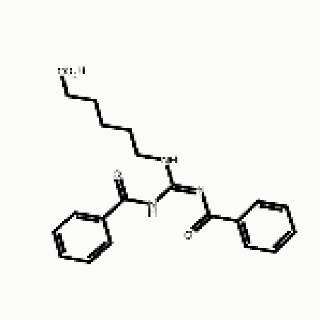 O=C(O)CCCCCN/C(=N/C(=O)c1ccccc1)NC(=O)c1ccccc1